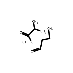 CC(C)[C](=O)[K].CCCC=O.[KH]